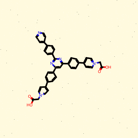 O=C(O)C[n+]1ccc(-c2ccc(-c3cc(-c4ccc(-c5cc[n+](CC(=O)O)cc5)cc4)nc(-c4ccc(-c5ccncc5)cc4)n3)cc2)cc1